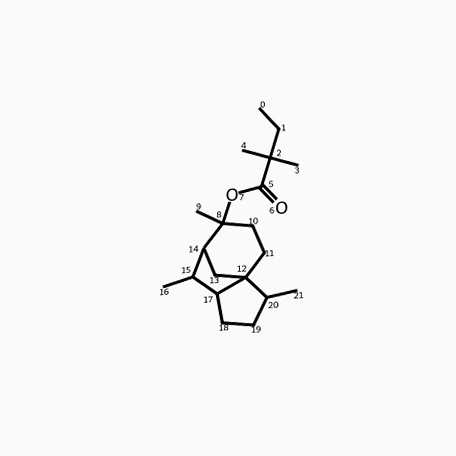 CCC(C)(C)C(=O)OC1(C)CCC23CC1C(C)C2CCC3C